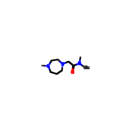 CN1CCCN(CC(=O)N(C)C(C)(C)C)CC1